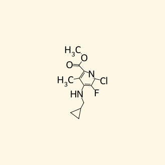 COC(=O)c1nc(Cl)c(F)c(NCC2CC2)c1C